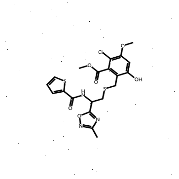 COC(=O)c1c(Cl)c(OC)cc(O)c1CSCC(NC(=O)c1cccs1)c1nc(C)no1